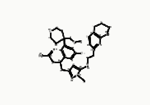 COCC1(c2cc(F)cc(C(CC(=O)O)Cc3cc(OCCc4ccc5c(n4)NCCC5)n(C)n3)c2)CCOCC1